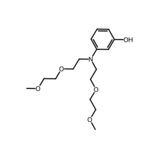 COCCOCCN(CCOCCOC)c1cccc(O)c1